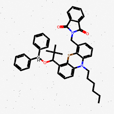 CCCCCCN1c2cccc(CN3C(=O)c4ccccc4C3=O)c2Sc2c(C(O[SiH](c3ccccc3)c3ccccc3)C(C)(C)C)cccc21